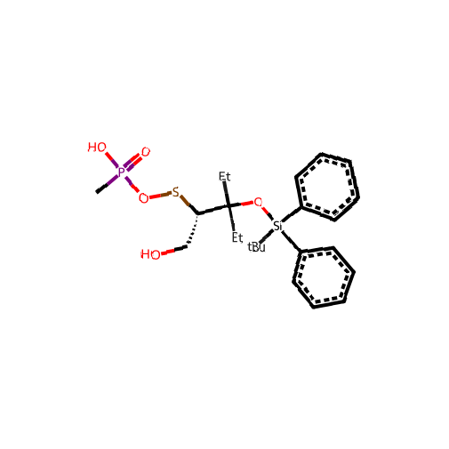 CCC(CC)(O[Si](c1ccccc1)(c1ccccc1)C(C)(C)C)[C@H](CO)SOP(C)(=O)O